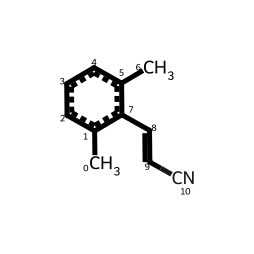 Cc1cccc(C)c1C=CC#N